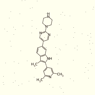 Cc1cc(-c2[nH]c3cc(-c4cnc(N5CCNCC5)nc4)ccc3c2C)cc(C)n1